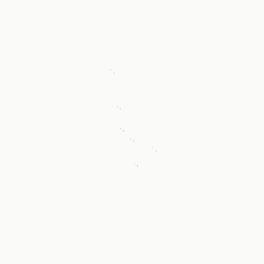 c1ccc(-c2nc(-c3ccccc3)nc(-c3ccccc3-c3nc4ccccc4n3-c3cccnc3)n2)cc1